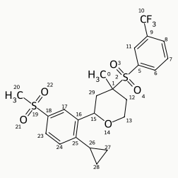 CC1(S(=O)(=O)c2cccc(C(F)(F)F)c2)CCOC(c2cc(S(C)(=O)=O)ccc2C2CC2)C1